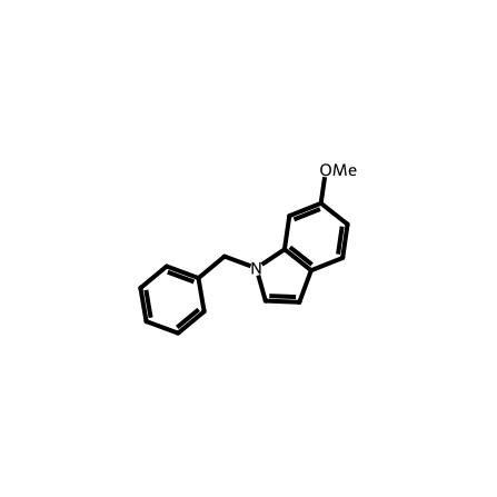 COc1ccc2ccn(Cc3ccccc3)c2c1